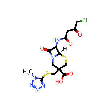 Cn1nnnc1SCC1(C(=O)O)CS[C@@H]2C(NC(=O)CC(=O)CCl)C(=O)N2C1